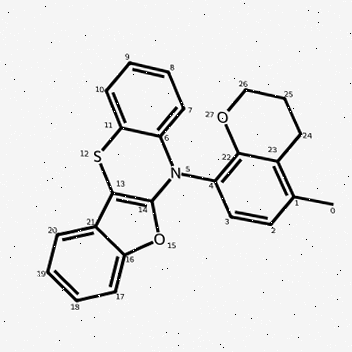 Cc1ccc(N2c3ccccc3Sc3c2oc2ccccc32)c2c1CCCO2